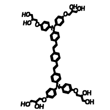 OCC(O)COc1ccc(N(c2ccc(C=Cc3ccc(C=Cc4ccc(N(c5ccc(OCC(O)CO)cc5)c5ccc(OCC(O)CO)cc5)cc4)cc3)cc2)c2ccc(OCC(O)CO)cc2)cc1